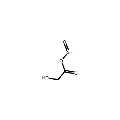 O=[SH]OC(=O)CO